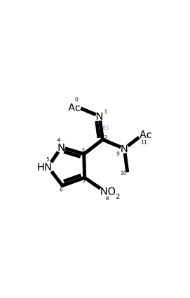 CC(=O)/N=C(\c1n[nH]cc1[N+](=O)[O-])N(C)C(C)=O